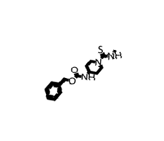 CNC(=S)N1CCC(NC(=O)OCc2ccccc2)CC1